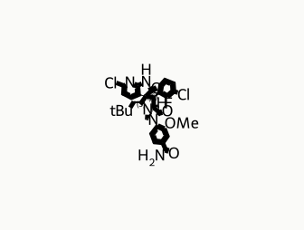 COc1cc(C(N)=O)ccc1N1CN2[C@@H](CC(C)(C)C)[C@@]3(C(=O)Nc4nc(Cl)ccc43)[C@@H](c3cccc(Cl)c3F)[C@@H]2C1=O